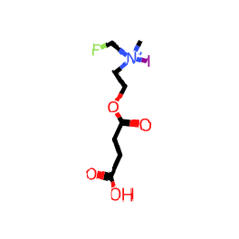 C[N+](I)(CF)CCOC(=O)CCC(=O)O